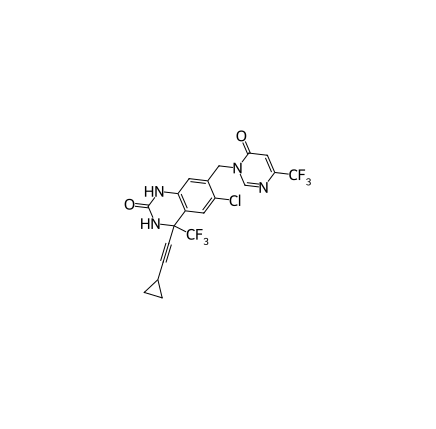 O=C1Nc2cc(Cn3cnc(C(F)(F)F)cc3=O)c(Cl)cc2C(C#CC2CC2)(C(F)(F)F)N1